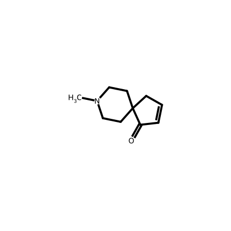 CN1CCC2(CC=CC2=O)CC1